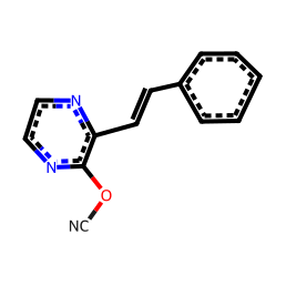 N#COc1nccnc1C=Cc1ccccc1